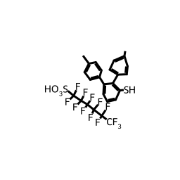 Cc1ccc(-c2cccc(S)c2-c2ccc(C)cc2)cc1.O=S(=O)(O)C(F)(F)C(F)(F)C(F)(F)C(F)(F)C(F)(F)C(F)(F)F